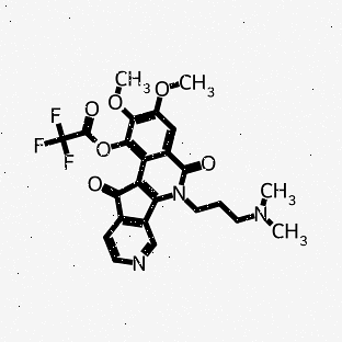 COc1cc2c(=O)n(CCCN(C)C)c3c(c2c(OC(=O)C(F)(F)F)c1OC)C(=O)c1ccncc1-3